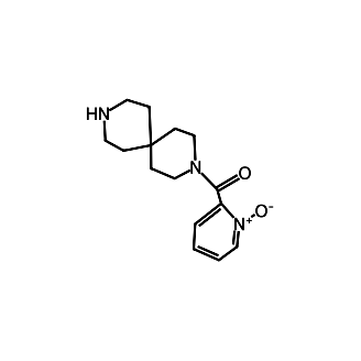 O=C(c1cccc[n+]1[O-])N1CCC2(CCNCC2)CC1